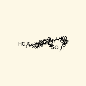 O=C(CCCCCNC(=O)N(CCCS(=O)(=O)O)c1ccc2nc(-c3cc[n+](CCCS(=O)(=O)O)cc3)oc2c1)ON1C(=O)CCC1=O